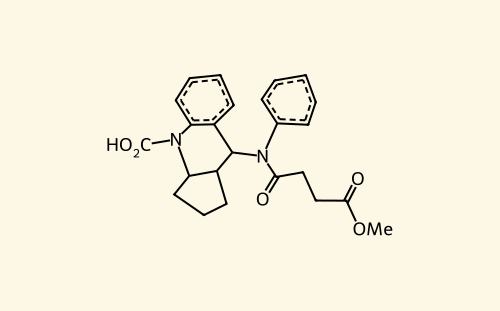 COC(=O)CCC(=O)N(c1ccccc1)C1c2ccccc2N(C(=O)O)C2CCCC21